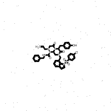 C=CCN1CC(=O)N2C(Cc3ccc(O)cc3)C(=O)N(Cc3cccc4ccn(S(=O)(=O)c5ccc(Cl)cc5)c34)CC2N1C(=O)NCc1ccccc1